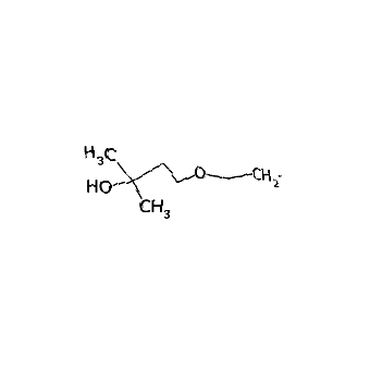 [CH2]COCCC(C)(C)O